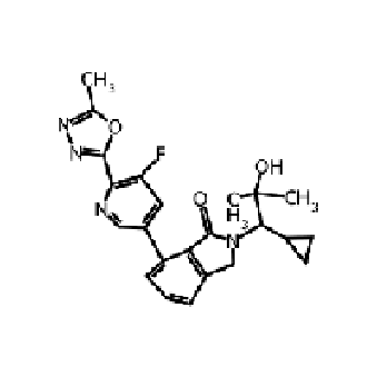 Cc1nnc(-c2ncc(-c3cccc4c3C(=O)N(C(C3CC3)C(C)(C)O)C4)cc2F)o1